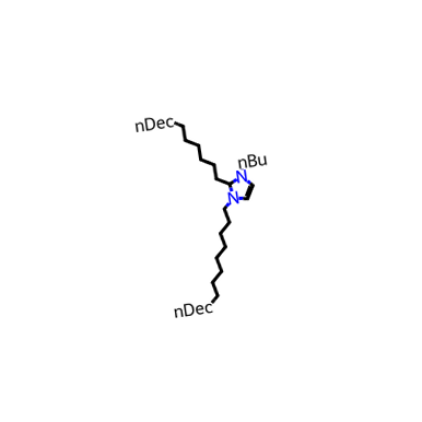 CCCCCCCCCCCCCCCCCCN1C=CN(CCCC)C1CCCCCCCCCCCCCCCC